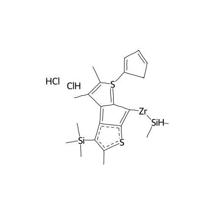 CC1=C(C)S(C2=CC=CC2)=C2[C]([Zr][SiH](C)C)=c3sc(C)c([Si](C)(C)C)c3=C12.Cl.Cl